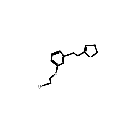 NCCOc1cccc(CCC2=CCCS2)c1